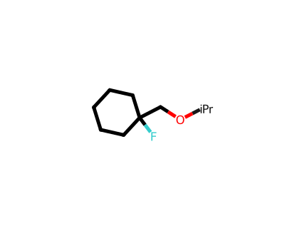 CC(C)OCC1(F)CCCCC1